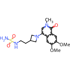 COc1cc2c(N3CC(CCNS(N)(=O)=O)C3)cn(C)c(=O)c2cc1OC